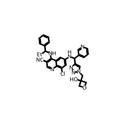 CCC(Nc1c(C#N)cnc2c(Cl)cc(NC(c3cccnc3)c3cn(CC4(O)COC4)nn3)cc12)c1ccccc1